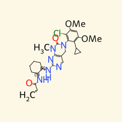 C=CC(=O)N[C@H]1CCCC[C@H]1Nc1ncc2c(n1)N(C)C(=O)N(c1c(Cl)c(OC)cc(OC)c1C1CC1)C2